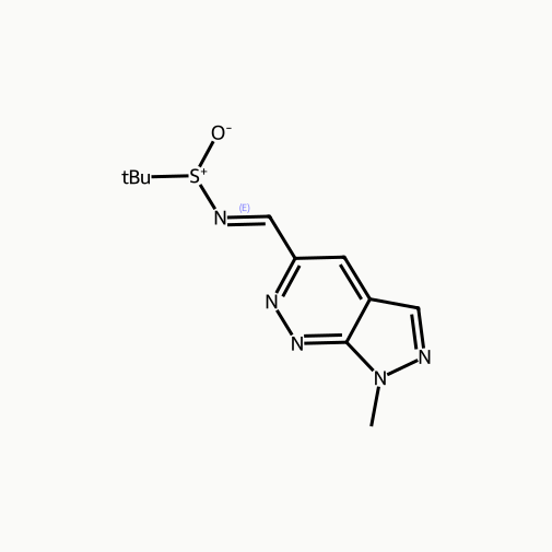 Cn1ncc2cc(/C=N/[S+]([O-])C(C)(C)C)nnc21